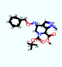 COC(=O)C1c2c(cnn2C)/C(=N/OCc2ccccc2)CN1C(=O)OC(C)(C)C